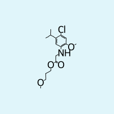 COCCCOC(=O)CNc1cc(C(C)C)c(Cl)cc1OC